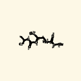 CC(Cl)OC(=O)OC(CNC(=O)OC(C)(C)C)C(C)(C)C